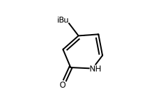 CCC(C)c1cc[nH]c(=O)c1